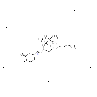 CCCCCCCC(/C=C/C1CCCC(=O)C1)O[Si](C)(C)C(C)(C)C